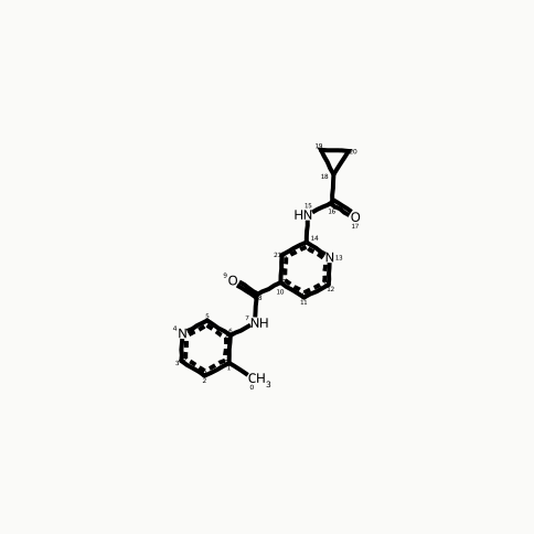 Cc1ccncc1NC(=O)c1ccnc(NC(=O)C2CC2)c1